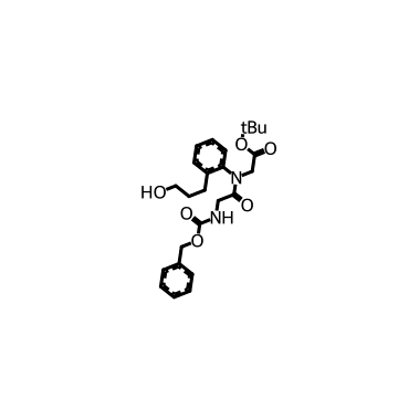 CC(C)(C)OC(=O)CN(C(=O)CNC(=O)OCc1ccccc1)c1ccccc1CCCO